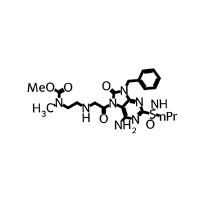 CCCS(=N)(=O)c1nc(N)c2c(n1)n(Cc1ccccc1)c(=O)n2C(=O)CNCCN(C)C(=O)OC